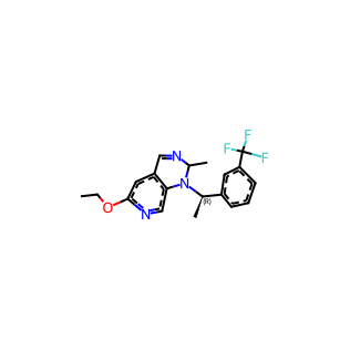 CCOc1cc2c(cn1)N([C@H](C)c1cccc(C(F)(F)F)c1)C(C)N=C2